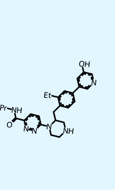 CCCNC(=O)c1ccc(N2CCNCC2Cc2ccc(-c3cncc(O)c3)cc2CC)nn1